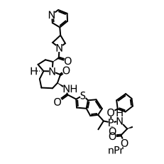 CCCOC(=O)[C@H](C)NP(=O)(Oc1ccccc1)C(C)c1ccc2sc(C(=O)N[C@H]3CCC[C@H]4CC[C@@H](C(=O)N5CC(c6cccnc6)C5)N4C3=O)cc2c1